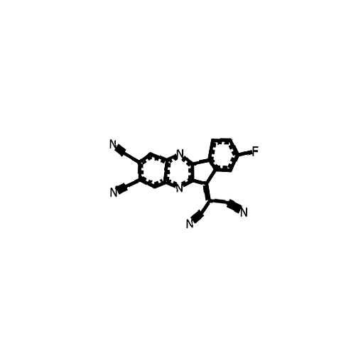 N#CC(C#N)=C1c2cc(F)ccc2-c2nc3cc(C#N)c(C#N)cc3nc21